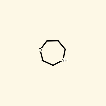 [C]1CNCCCO1